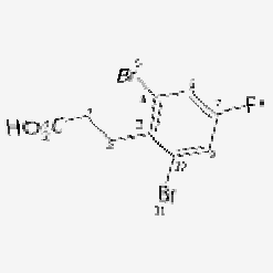 O=C(O)CCc1c(Br)cc(F)cc1Br